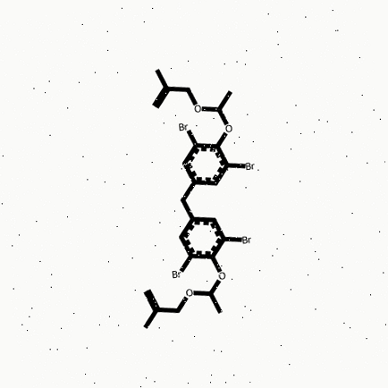 C=C(C)COC(C)Oc1c(Br)cc(Cc2cc(Br)c(OC(C)OCC(=C)C)c(Br)c2)cc1Br